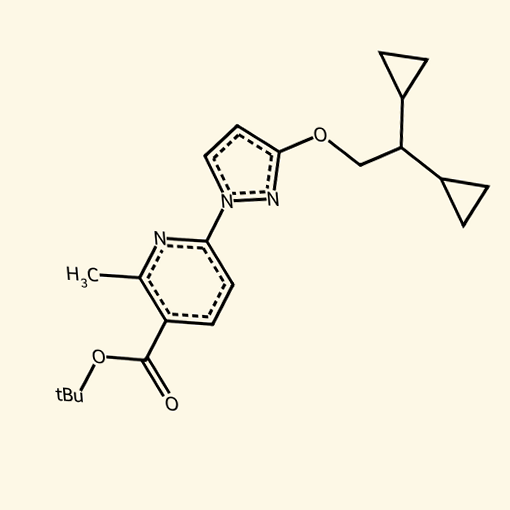 Cc1nc(-n2ccc(OCC(C3CC3)C3CC3)n2)ccc1C(=O)OC(C)(C)C